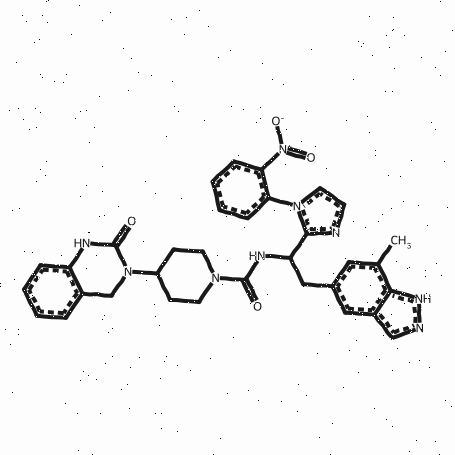 Cc1cc(CC(NC(=O)N2CCC(N3Cc4ccccc4NC3=O)CC2)c2nccn2-c2ccccc2[N+](=O)[O-])cc2cn[nH]c12